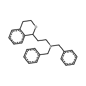 c1ccc(CN(CCC2OCCc3ccccc32)Cc2ccccc2)cc1